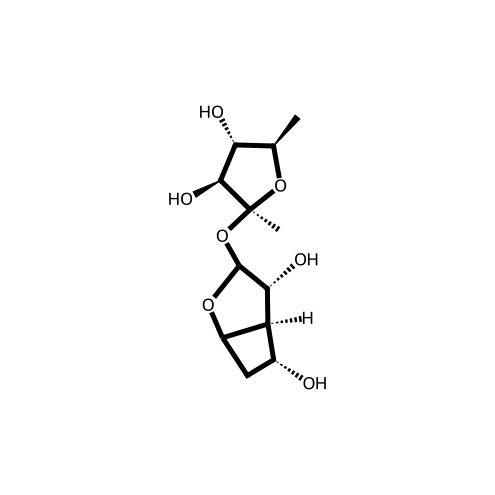 C[C@H]1O[C@@](C)(OC2OC3C[C@@H](O)[C@@H]3[C@H]2O)[C@@H](O)[C@@H]1O